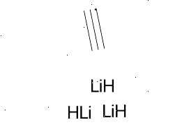 [C]#C.[LiH].[LiH].[LiH]